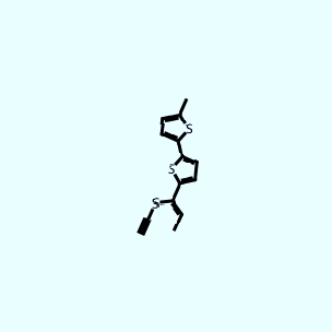 C#CS/C(=C\C)c1ccc(-c2ccc(C)s2)s1